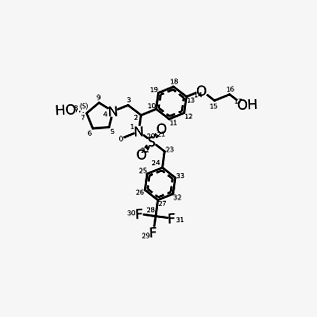 CN(C(CN1CC[C@H](O)C1)c1ccc(OCCO)cc1)S(=O)(=O)Cc1ccc(C(F)(F)F)cc1